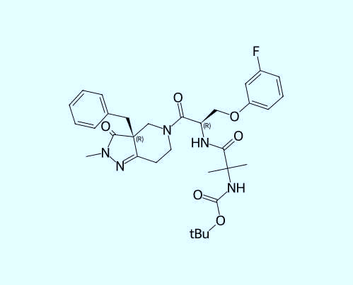 CN1N=C2CCN(C(=O)[C@@H](COc3cccc(F)c3)NC(=O)C(C)(C)NC(=O)OC(C)(C)C)C[C@@]2(Cc2ccccc2)C1=O